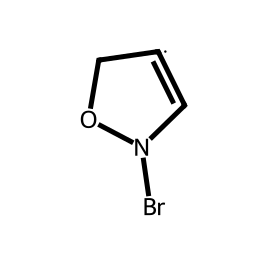 BrN1C=[C]CO1